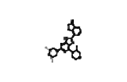 CC1COCCN1c1nc(N2C[C@@H](C)O[C@@H](C)C2)nc2[nH]c(-c3cccc4[nH]ccc34)nc12